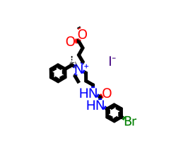 CC[N+](CCCNC(=O)Nc1ccc(Br)cc1)(CCCC(=O)OC)[C@@H](C)c1ccccc1.[I-]